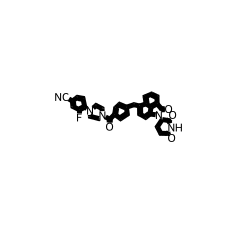 N#Cc1ccc(N2CCN(C(=O)c3ccc(Cc4ccc5c6c(cccc46)C(=O)N5C4CCC(=O)NC4=O)cc3)CC2)c(F)c1